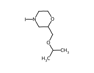 CC(C)OCC1CN(I)CCO1